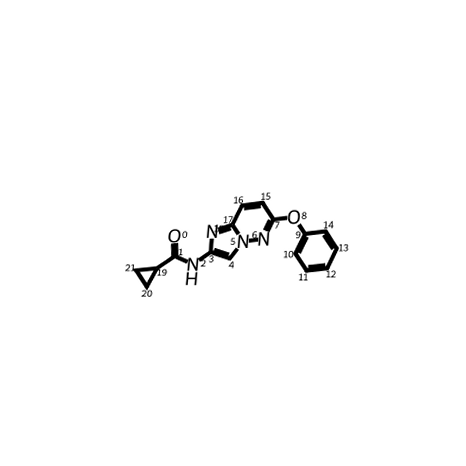 O=C(Nc1cn2nc(Oc3ccccc3)ccc2n1)C1CC1